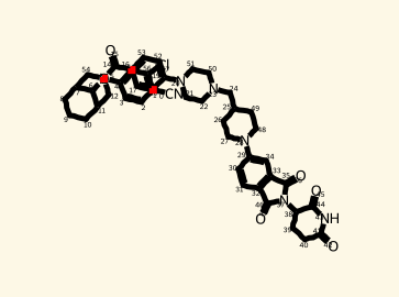 N#Cc1ccc(OC2C3CCCC2CN(C(=O)c2ccc(N4CCN(CC5CCN(c6ccc7c(c6)C(=O)N(C6CCC(=O)NC6=O)C7=O)CC5)CC4)cc2)C3)cc1Cl